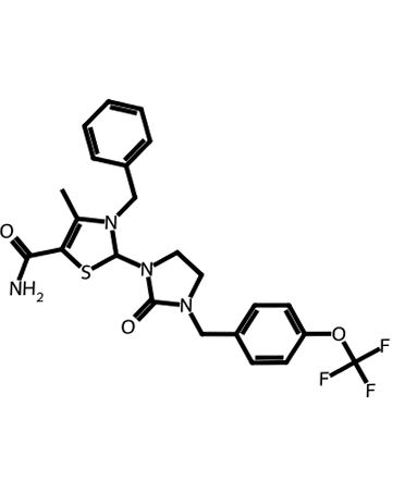 CC1=C(C(N)=O)SC(N2CCN(Cc3ccc(OC(F)(F)F)cc3)C2=O)N1Cc1ccccc1